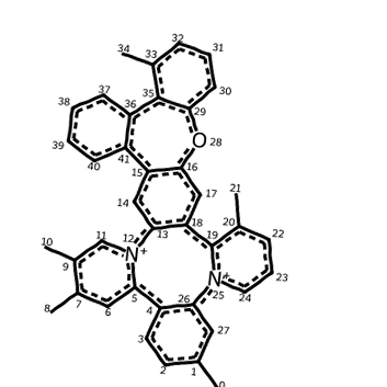 Cc1ccc2c3cc(C)c(C)c[n+]3c3cc4c(cc3c3c(C)ccc[n+]3c2c1)oc1cccc(C)c1c1ccccc41